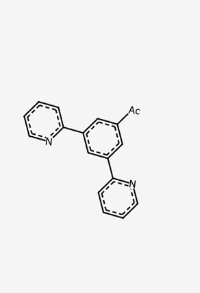 CC(=O)c1cc(-c2ccccn2)cc(-c2ccccn2)c1